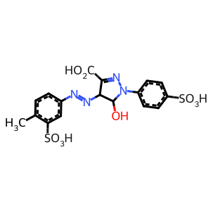 Cc1ccc(N=NC2C(C(=O)O)=NN(c3ccc(S(=O)(=O)O)cc3)C2O)cc1S(=O)(=O)O